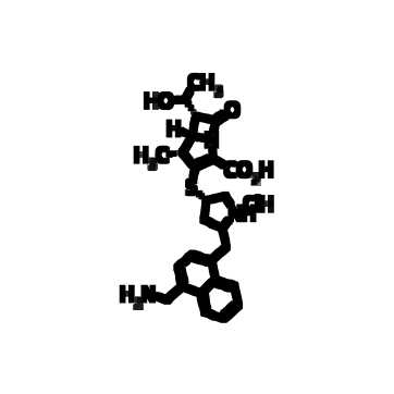 CC(O)[C@@H]1C(=O)N2C(C(=O)O)=C(S[C@@H]3CNC(Cc4ccc(CN)c5ccccc45)C3)[C@H](C)[C@H]12.Cl